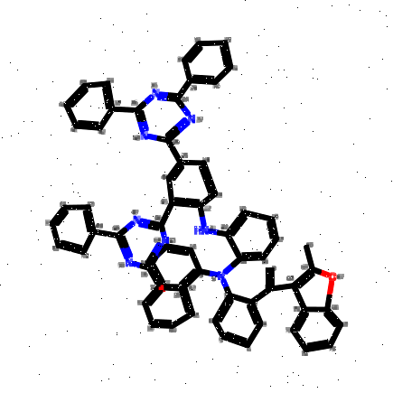 C=C(c1ccccc1N(c1ccccc1)c1ccccc1Nc1ccc(-c2nc(-c3ccccc3)nc(-c3ccccc3)n2)cc1-c1nc(-c2ccccc2)nc(-c2ccccc2)n1)c1c(C)oc2ccccc12